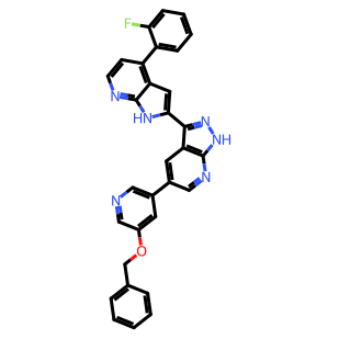 Fc1ccccc1-c1ccnc2[nH]c(-c3n[nH]c4ncc(-c5cncc(OCc6ccccc6)c5)cc34)cc12